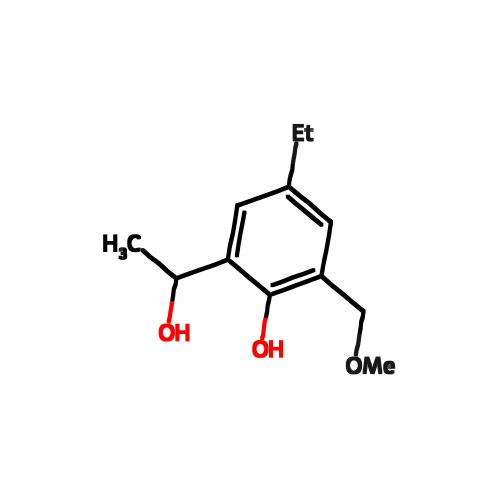 CCc1cc(COC)c(O)c(C(C)O)c1